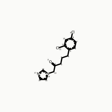 O=C(CCCc1ccc(Cl)cc1Cl)Cn1ccnc1